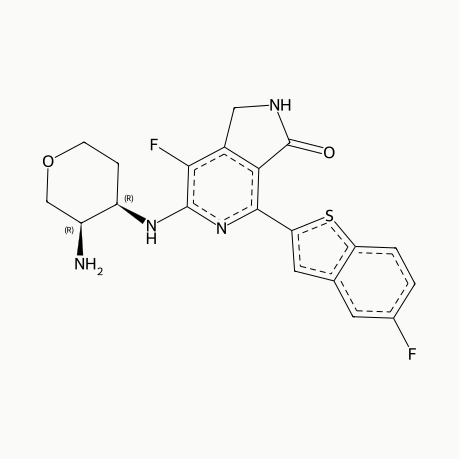 N[C@H]1COCC[C@H]1Nc1nc(-c2cc3cc(F)ccc3s2)c2c(c1F)CNC2=O